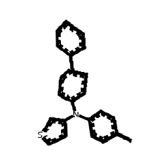 Cc1ccc(N(c2ccc(-c3ccccc3)cc2)c2ccsc2)cc1